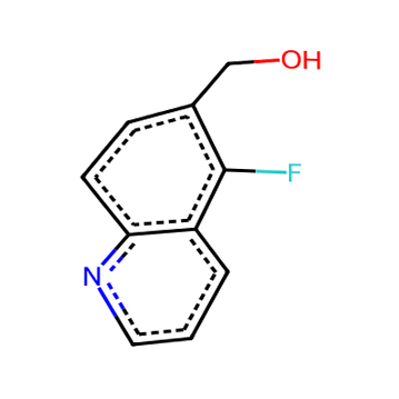 OCc1ccc2ncccc2c1F